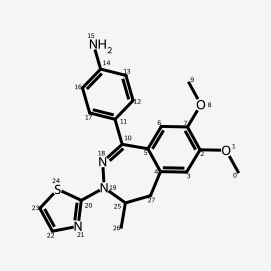 COc1cc2c(cc1OC)C(c1ccc(N)cc1)=NN(c1nccs1)C(C)C2